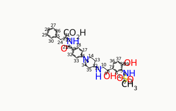 CS(=O)(=O)Nc1cc([C@@H](O)CNC2CCN(c3ccc(C(=O)N[C@@H](Cc4ccccc4)C(=O)O)cc3)CC2)ccc1O